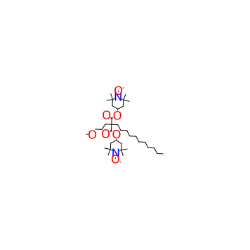 CCCCCCCCCCCC(CCCOC)(C(=O)OC1CC(C)(C)N(OC)C(C)(C)C1)C(=O)OC1CC(C)(C)N(OC)C(C)(C)C1